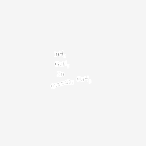 [GaH3].[GaH3].[InH3].[O]=[Zn].[Zn]